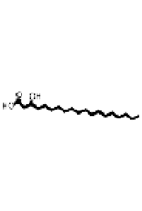 CCCCCCCCCCCCCCCCC(O)CC(=O)O